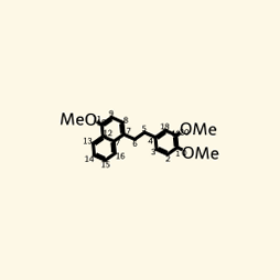 COc1ccc(CCc2ccc(OC)c3ccccc23)cc1OC